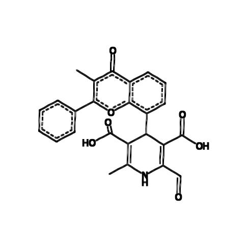 CC1=C(C(=O)O)C(c2cccc3c(=O)c(C)c(-c4ccccc4)oc23)C(C(=O)O)=C(C=O)N1